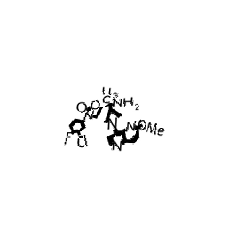 COc1ccc2nccc(N3CC(C(C)(N)[C@H]4CN(c5ccc(F)c(Cl)c5)C(=O)O4)C3)c2n1